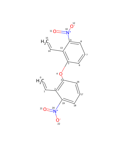 C=Cc1c(Oc2cccc([N+](=O)[O-])c2C=C)cccc1[N+](=O)[O-]